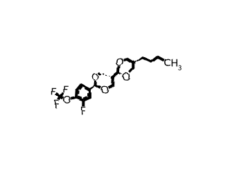 CCCC[C@H]1CO[C@H]([C@H]2CO[C@H](c3ccc(OC(F)(F)F)c(F)c3)OC2)OC1